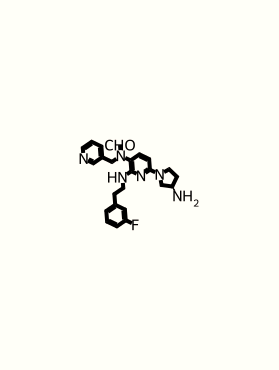 N[C@H]1CCN(c2ccc(N(C=O)Cc3cccnc3)c(NCCc3cccc(F)c3)n2)C1